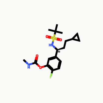 CNC(=O)Oc1cc([C@H](CCC2CC2)NS(=O)(=O)C(C)(C)C)ccc1F